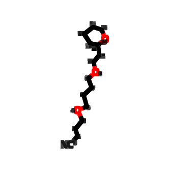 N#CCCCOCCCCOCCC1CCCCO1